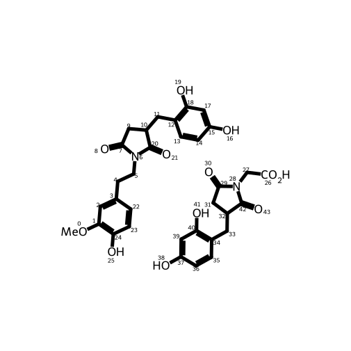 COc1cc(CCN2C(=O)CC(Cc3ccc(O)cc3O)C2=O)ccc1O.O=C(O)CN1C(=O)CC(Cc2ccc(O)cc2O)C1=O